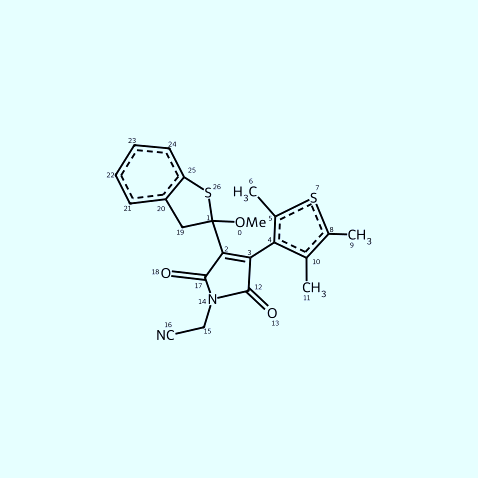 COC1(C2=C(c3c(C)sc(C)c3C)C(=O)N(CC#N)C2=O)Cc2ccccc2S1